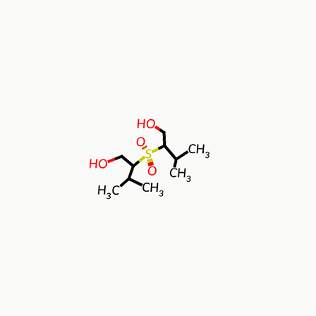 CC(C)C(CO)S(=O)(=O)C(CO)C(C)C